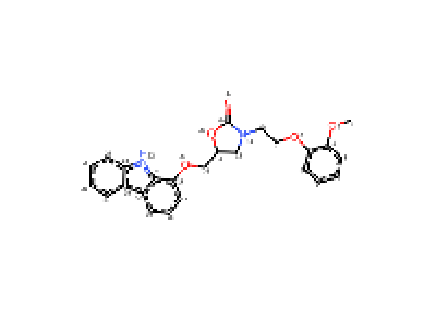 COc1ccccc1OCCN1CC(COc2cccc3c2[nH]c2ccccc23)OC1=O